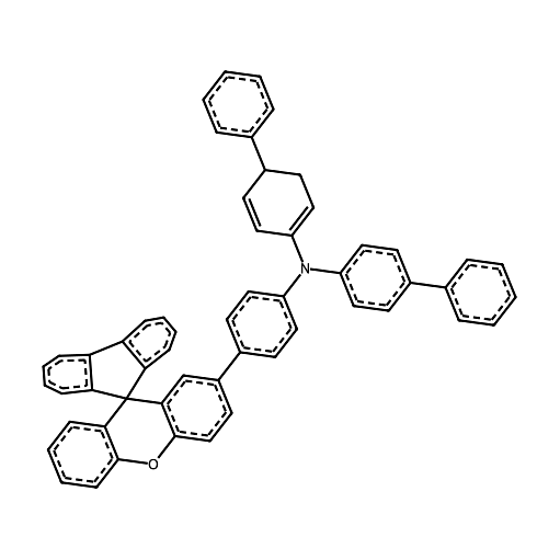 C1=CC(c2ccccc2)CC=C1N(c1ccc(-c2ccccc2)cc1)c1ccc(-c2ccc3c(c2)C2(c4ccccc4O3)c3ccccc3-c3ccccc32)cc1